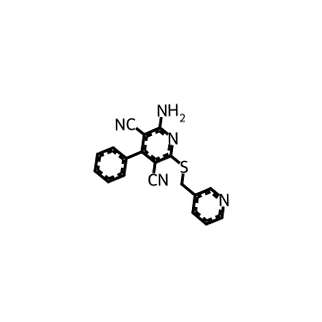 N#Cc1c(N)nc(SCc2cccnc2)c(C#N)c1-c1ccccc1